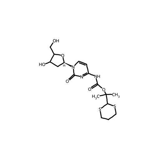 CC(C)(OC(=O)Nc1ccn([C@H]2CC(O)C(CO)O2)c(=O)n1)C1SCCCS1